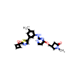 Cc1cc(Nc2nccc(OCC3CC(=O)N(C)C3)n2)cc(-c2cnc(C3(O)CCC3)s2)c1